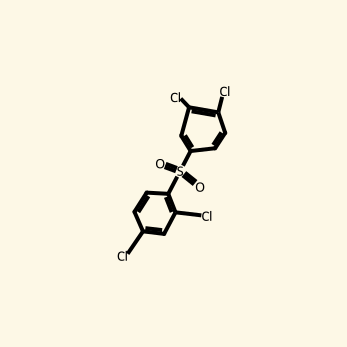 O=S(=O)(c1ccc(Cl)c(Cl)c1)c1ccc(Cl)cc1Cl